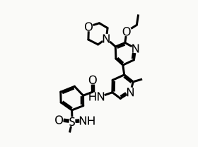 CCOc1ncc(-c2cc(NC(=O)c3cccc(S(C)(=N)=O)c3)cnc2C)cc1N1CCOCC1